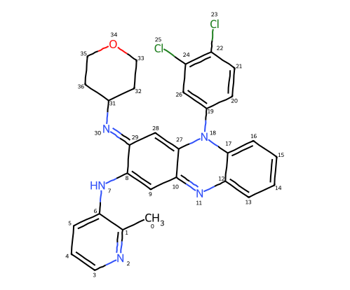 Cc1ncccc1Nc1cc2nc3ccccc3n(-c3ccc(Cl)c(Cl)c3)c-2c/c1=N\C1CCOCC1